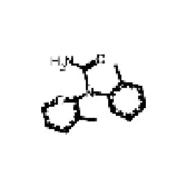 Cc1ccccc1N(C(N)=O)c1ccccc1C